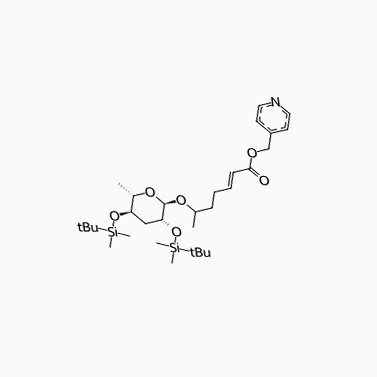 CC(CCC=CC(=O)OCc1ccncc1)O[C@@H]1O[C@@H](C)[C@H](O[Si](C)(C)C(C)(C)C)C[C@H]1O[Si](C)(C)C(C)(C)C